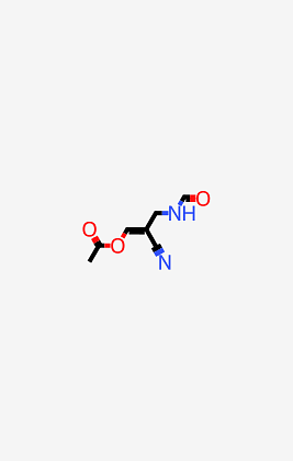 CC(=O)OC=C(C#N)CNC=O